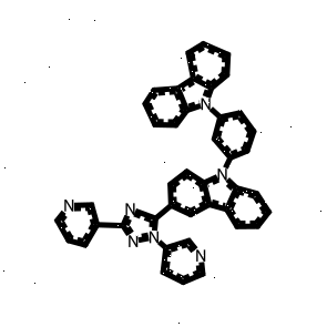 c1cncc(-c2nc(-c3ccc4c(c3)c3ccccc3n4-c3cccc(-n4c5ccccc5c5ccccc54)c3)n(-c3cccnc3)n2)c1